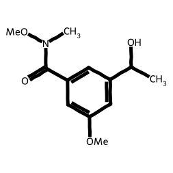 COc1cc(C(=O)N(C)OC)cc(C(C)O)c1